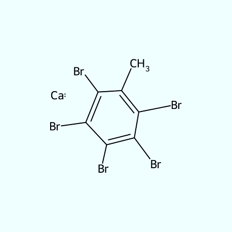 Cc1c(Br)c(Br)c(Br)c(Br)c1Br.[Ca]